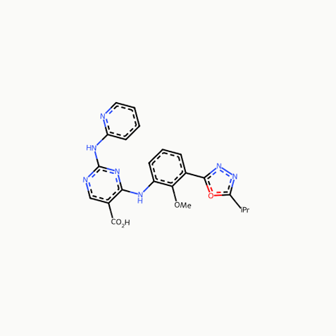 COc1c(Nc2nc(Nc3ccccn3)ncc2C(=O)O)cccc1-c1nnc(C(C)C)o1